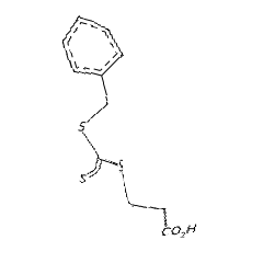 O=C(O)CCSC(=S)SCc1ccccc1